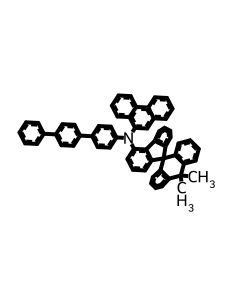 CC1(C)c2ccccc2C2(c3ccccc3-c3c(N(c4ccc(-c5ccc(-c6ccccc6)cc5)cc4)c4cc5ccccc5c5ccccc45)cccc32)c2ccccc21